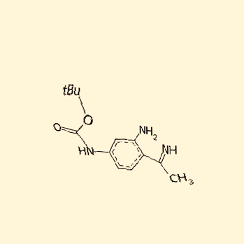 CC(=N)c1ccc(NC(=O)OC(C)(C)C)cc1N